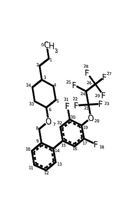 CCCC1CCC(OCc2ccccc2-c2cc(F)c(OC(F)(F)C(F)C(F)(F)F)c(F)c2)CC1